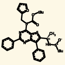 C[C@H](N[S+]([O-])C(C)(C)C)c1sc2c(N(Cc3ccco3)C(=O)OC(C)(C)C)nc(-c3ccccc3)nc2c1-c1ccccc1